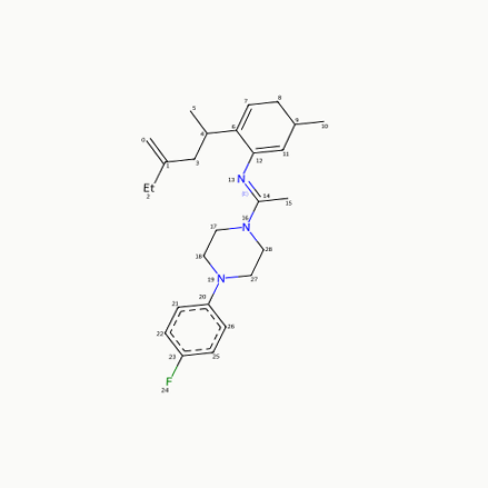 C=C(CC)CC(C)C1=CCC(C)C=C1/N=C(\C)N1CCN(c2ccc(F)cc2)CC1